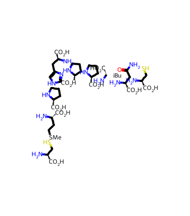 CC[C@H](C)[C@H](N)C(=O)O.CSCC[C@H](N)C(=O)O.NC(=O)C[C@H](N)C(=O)O.N[C@@H](CS)C(=O)O.N[C@@H](CS)C(=O)O.N[C@@H](Cc1c[nH]cn1)C(=O)O.O=C(O)[C@@H]1CCCN1.O=C(O)[C@@H]1CCCN1.O=C(O)[C@@H]1CCCN1